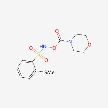 CSc1ccccc1S(=O)(=O)NOC(=O)N1CCOCC1